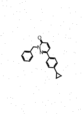 O=c1ccc(-c2ccc(C3CC3)cc2)nn1Cc1ccccc1